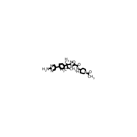 CC(=O)N1CCC(NC(=O)c2nc(C(C)(c3ccc(-c4cnc(N)nc4)cc3)C(C)C)no2)CC1